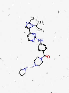 Cc1ncc(-c2ccnc(Nc3ccc(C(=O)N4CCN(CCN5CCCC5)CC4)cc3)n2)n1C(C)C